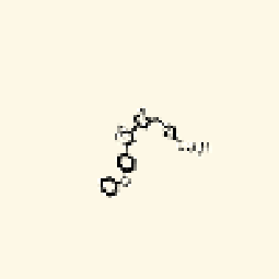 O=C(O)C1CN(Cc2cc(-c3cc(-c4ccc(Oc5ccccc5)cc4)on3)cs2)C1